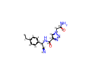 CCc1ccc(C(C#N)NC(=O)c2cn(CC(N)=O)nn2)cc1